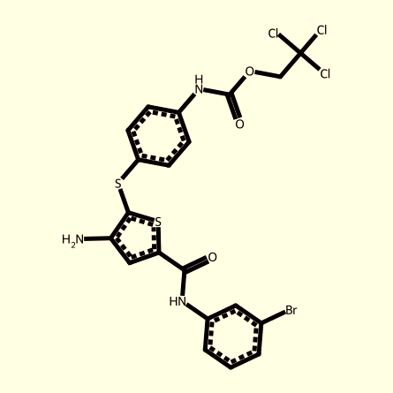 Nc1cc(C(=O)Nc2cccc(Br)c2)sc1Sc1ccc(NC(=O)OCC(Cl)(Cl)Cl)cc1